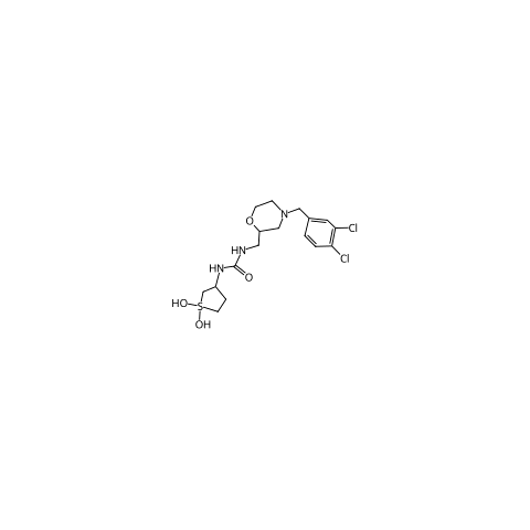 O=C(NCC1CN(Cc2ccc(Cl)c(Cl)c2)CCO1)NC1CCS(O)(O)C1